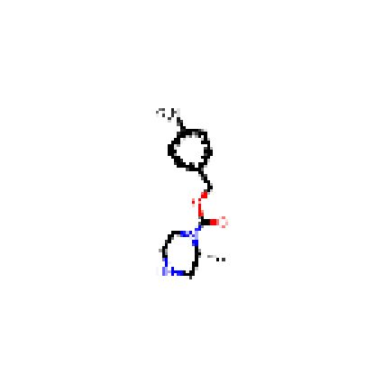 C[C@@H]1CNCCN1C(=O)OCc1ccc([N+](=O)[O-])cc1